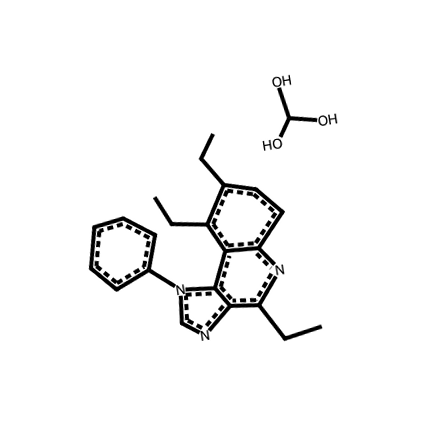 CCc1ccc2nc(CC)c3ncn(-c4ccccc4)c3c2c1CC.OC(O)O